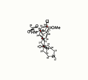 COc1cc(C=CC(=O)N2C3CN(C)CC2CN(Cc2ccc(F)cc2)C3)c(NS(C)(=O)=O)cc1Cl